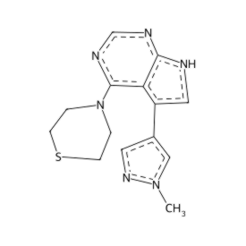 Cn1cc(-c2c[nH]c3ncnc(N4CCSCC4)c23)cn1